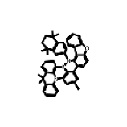 Cc1cc2c3c(c1)N1c4ccccc4C(C)(C)c4cccc(c41)B3N(c1ccc3c(c1)C(C)(C)CCC3(C)C)c1c-2ccc2oc3ccccc3c12